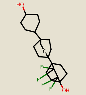 OC1CCC(C23CCC(C45CCC(O)(CC4)C(F)(F)C5(F)F)(CC2)CC3)CC1